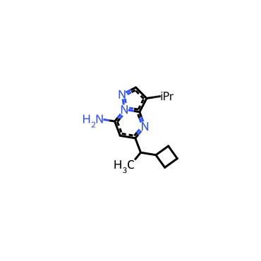 CC(C)c1cnn2c(N)cc(C(C)C3CCC3)nc12